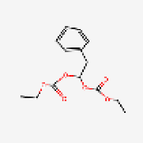 CCOC(=O)OC(Cc1ccccc1)OC(=O)OCC